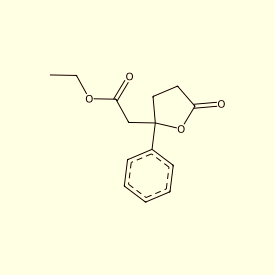 CCOC(=O)CC1(c2ccccc2)CCC(=O)O1